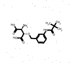 CC(C)(C)C(=O)Nc1cccc(CO[C@H](C(=O)O)[C@H](N)C(=O)O)c1